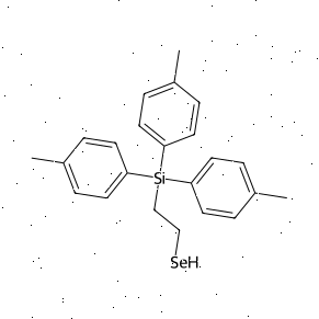 Cc1ccc([Si](CC[SeH])(c2ccc(C)cc2)c2ccc(C)cc2)cc1